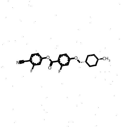 C[C@H]1CC[C@H](COc2ccc(C(=O)Oc3ccc(C#N)c(F)c3)c(F)c2)CC1